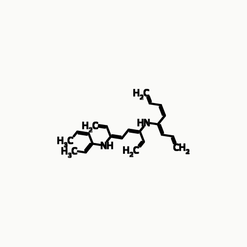 C=C/C=C\C(=C/C=C)N/C(C=C)=C/C=C(\C=C)NC(/C=C\C)=C/C